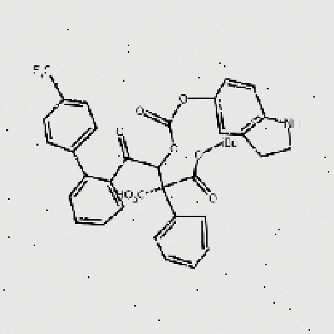 CCC(C)OC(=O)C(C(=O)O)(c1ccccc1)C(OC(=O)Oc1ccc2c(c1)CCN2)C(=O)c1ccccc1-c1ccc(C(F)(F)F)cc1